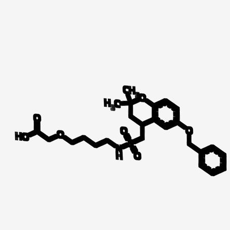 CC1(C)CC(CS(=O)(=O)NCCCCOCC(=O)O)c2cc(OCc3ccccc3)ccc2O1